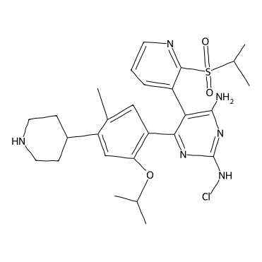 Cc1cc(-c2nc(NCl)nc(N)c2-c2cccnc2S(=O)(=O)C(C)C)c(OC(C)C)cc1C1CCNCC1